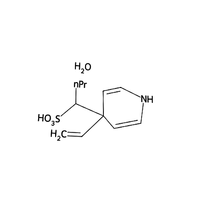 C=CC1(C(CCC)S(=O)(=O)O)C=CNC=C1.O